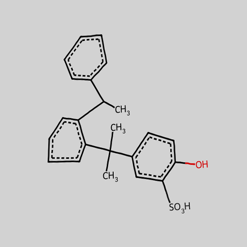 CC(c1ccccc1)c1ccccc1C(C)(C)c1ccc(O)c(S(=O)(=O)O)c1